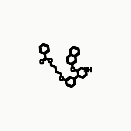 O=C(OCCCCOc1cccc(C2CCNCC2Oc2ccc3ccccc3c2)c1)c1ccccc1